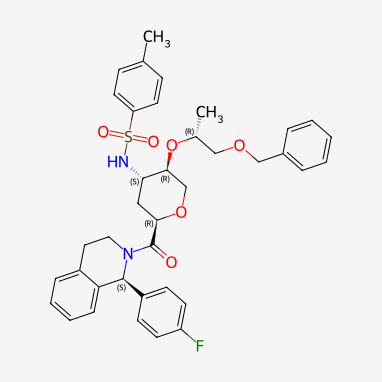 Cc1ccc(S(=O)(=O)N[C@H]2C[C@H](C(=O)N3CCc4ccccc4[C@@H]3c3ccc(F)cc3)OC[C@@H]2O[C@H](C)COCc2ccccc2)cc1